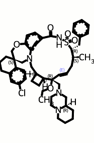 CCO[C@@]1(CN2CCN3CCCC[C@@H]3C2)/C=C/C[C@H](C)[C@@H](Cc2ccccc2)S(=O)(=O)NC(=O)c2ccc3c(c2)N(C[C@@H]2CC[C@H]21)C[C@@]1(CCCc2cc(Cl)ccc21)CO3